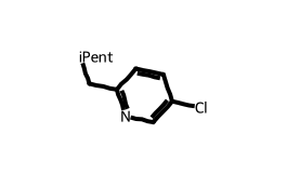 CCCC(C)Cc1ccc(Cl)cn1